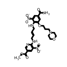 COC(=O)c1cnc(NC/C=C/CNc2c(OCCCN3CCOCC3)cc(C(N)=O)cc2[N+](=O)[O-])c([N+](=O)[O-])c1